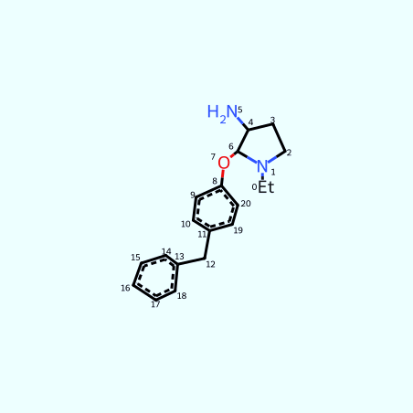 CCN1CCC(N)C1Oc1ccc(Cc2ccccc2)cc1